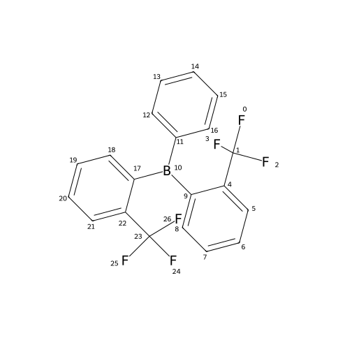 FC(F)(F)c1ccccc1B(c1ccccc1)c1ccccc1C(F)(F)F